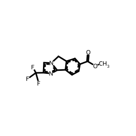 COC(=O)c1ccc2c(c1)Cn1cc(C(F)(F)F)nc1-2